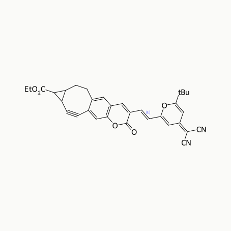 CCOC(=O)C1C2C#Cc3cc4oc(=O)c(/C=C/C5=CC(=C(C#N)C#N)C=C(C(C)(C)C)O5)cc4cc3CCC21